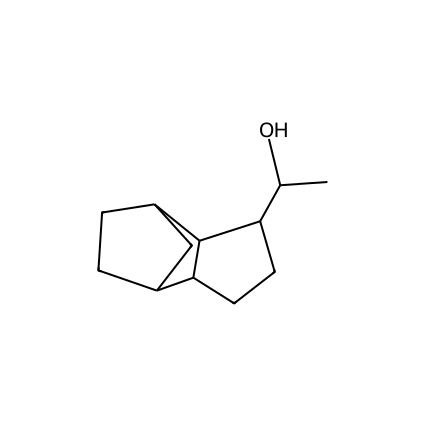 CC(O)C1CCC2C3CCC(C3)C12